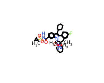 CC1c2cc(F)ccc2-c2c(C3CCCCC3)c3ccc(C(=O)NS(=O)(=O)C4(C)CC4)cc3n2C[C@]1(C)C(=O)N1C2CCC1CN(C)C2